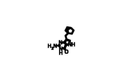 Nc1nc2c(CC34CCC(CC3)C4)c[nH]c2c(=O)[nH]1